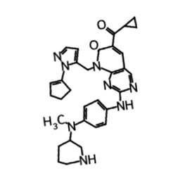 CN(c1ccc(Nc2ncc3cc(C(=O)C4CC4)c(=O)n(Cc4ccnn4C4=CCCC4)c3n2)cc1)C1CCCNC1